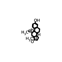 CO[C@H]1C[C@]2(C)C(=O)CC[C@H]2[C@@H]2CCc3cc(O)ccc3[C@H]21